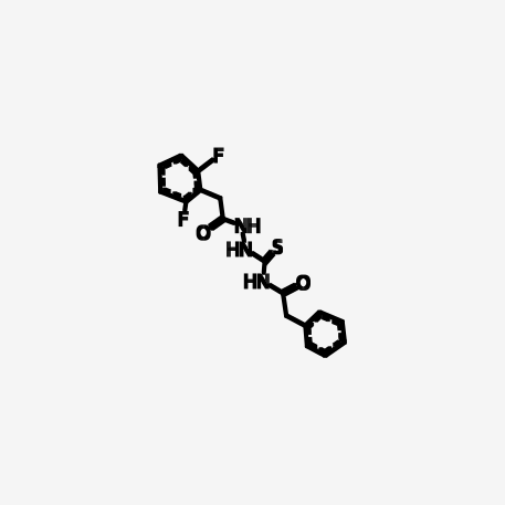 O=C(Cc1c(F)cccc1F)NNC(=S)NC(=O)Cc1ccccc1